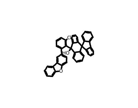 OC1(c2c(Cl)cccc2-c2ccc3oc4ccccc4c3c2)c2ccccc2C2(c3ccccc3-c3ccccc32)c2ccccc21